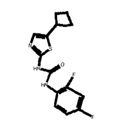 O=C(Nc1ncc(C2CCC2)s1)Nc1ccc(F)cc1F